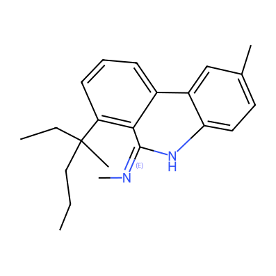 CCCC(C)(CC)c1cccc2c1/c(=N\C)[nH]c1ccc(C)cc12